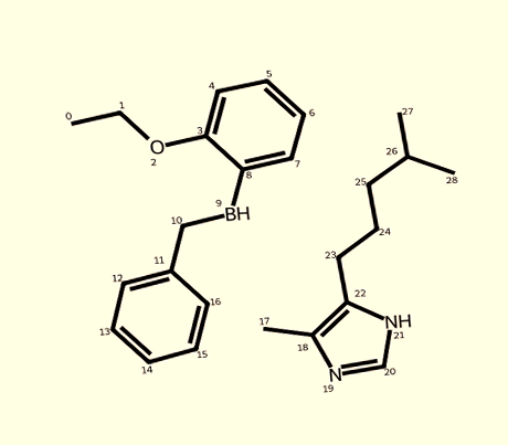 CCOc1ccccc1BCc1ccccc1.Cc1nc[nH]c1CCCC(C)C